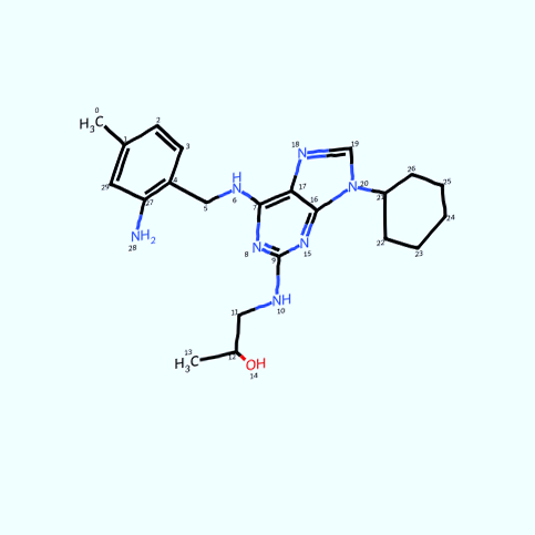 Cc1ccc(CNc2nc(NCC(C)O)nc3c2ncn3C2CCCCC2)c(N)c1